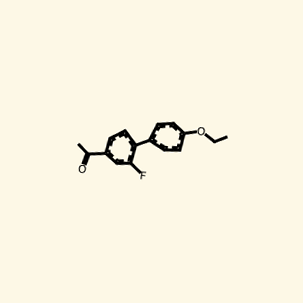 CCOc1ccc(-c2ccc(C(C)=O)cc2F)cc1